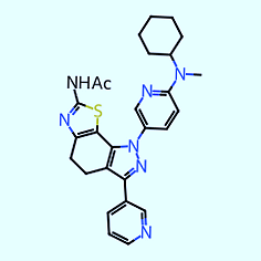 CC(=O)Nc1nc2c(s1)-c1c(c(-c3cccnc3)nn1-c1ccc(N(C)C3CCCCC3)nc1)CC2